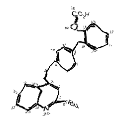 CCCCc1cc(Cc2ccc(-c3ccccc3OC(=O)O)cc2)c2ccccc2n1